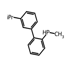 CPc1ccccc1-c1cccc(C(C)C)c1